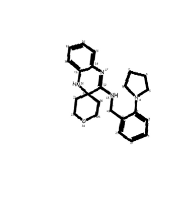 c1ccc(N2CCCC2)c(CNC2=Nc3ccccc3NC23CCOCC3)c1